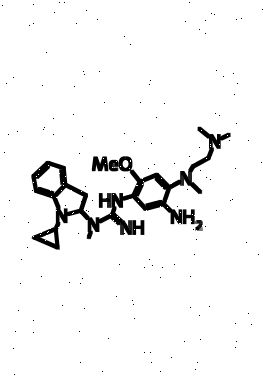 COc1cc(N(C)CCN(C)C)c(N)cc1NC(=N)N(C)C1Cc2ccccc2N1C1CC1